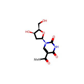 CNC(=O)c1cn([C@H]2C[C@@H](O)[C@@H](CO)O2)c(=O)[nH]c1=O